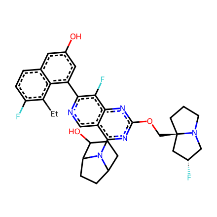 CCc1c(F)ccc2cc(O)cc(-c3ncc4c(N5C6CCC(O)C5CC6)nc(OC[C@@]56CCCN5C[C@H](F)C6)nc4c3F)c12